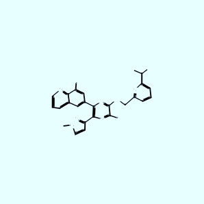 CC(C)c1cccc(COc2nc(-c3cc(Cl)c4ncccc4c3)c(-c3ccn(C)n3)nc2N)n1